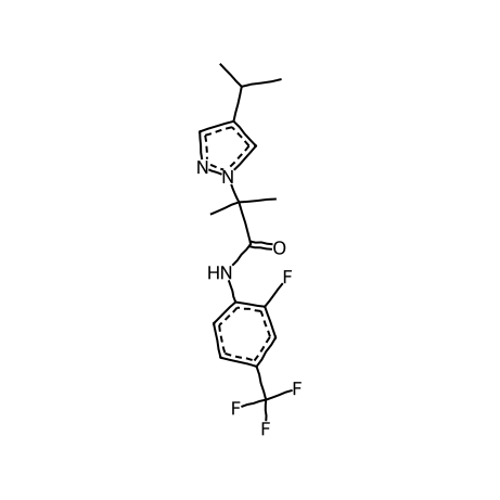 CC(C)c1cnn(C(C)(C)C(=O)Nc2ccc(C(F)(F)F)cc2F)c1